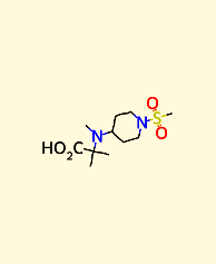 CN(C1CCN(S(C)(=O)=O)CC1)C(C)(C)C(=O)O